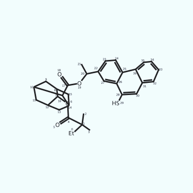 CCC(C)(C)C(=O)OC1C2CC3CC1CC(C2)C3C(=O)OC(C)c1ccc2c(c1)c(S)cc1ccccc12